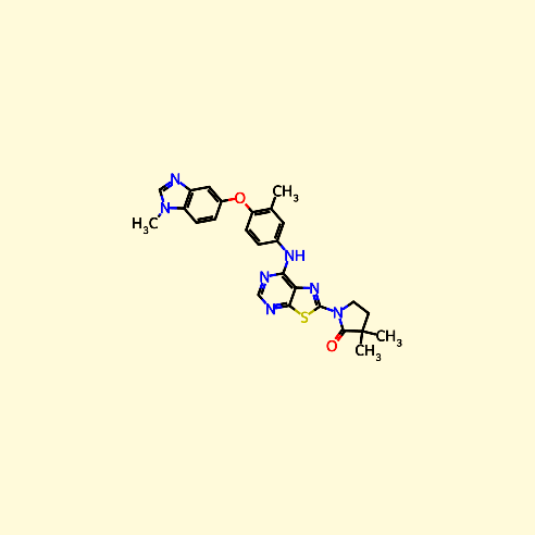 Cc1cc(Nc2ncnc3sc(N4CCC(C)(C)C4=O)nc23)ccc1Oc1ccc2c(c1)ncn2C